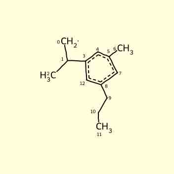 [CH2]C(C)c1cc(C)cc(CCC)c1